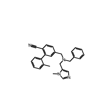 Cc1ccccc1-c1cc(CN(Cc2ccccc2)Cc2cncn2C)ccc1C#N